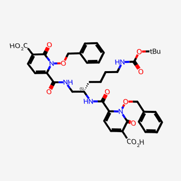 CC(C)(C)OC(=O)NCCCC[C@@H](CNC(=O)c1ccc(C(=O)O)c(=O)n1OCc1ccccc1)NC(=O)c1ccc(C(=O)O)c(=O)n1OCc1ccccc1